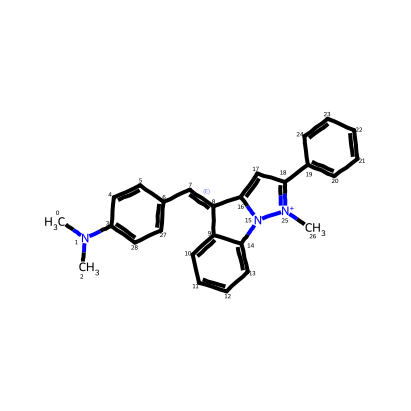 CN(C)c1ccc(/C=c2\c3ccccc3n3c2cc(-c2ccccc2)[n+]3C)cc1